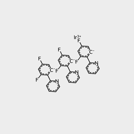 Fc1c[c-]c(-c2ccccn2)c(F)c1.Fc1c[c-]c(-c2ccccn2)c(F)c1.Fc1c[c-]c(-c2ccccn2)c(F)c1.[Ir+3]